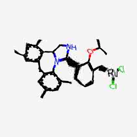 Cc1cc(C)c(C2CNC(=C3CC=CC([CH]=[Ru]([Cl])[Cl])=C3OC(C)C)N2c2c(C)cc(C)cc2C)c(C)c1